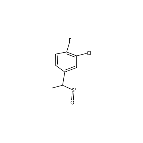 CC([S+]=O)c1ccc(F)c(Cl)c1